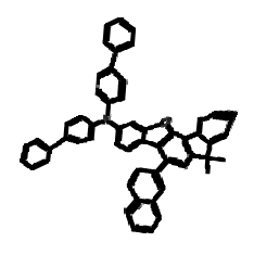 CC1(C)c2ccccc2-c2c1cc(-c1ccc3ccccc3c1)c1c2oc2cc(N(c3ccc(-c4ccccc4)cc3)c3ccc(-c4ccccc4)cc3)ccc21